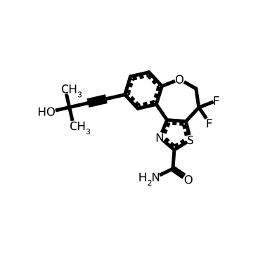 CC(C)(O)C#Cc1ccc2c(c1)-c1nc(C(N)=O)sc1C(F)(F)CO2